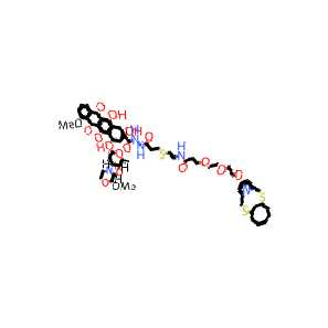 COc1cccc2c1C(=O)c1c(O)c3c(c(O)c1C2=O)C[C@@](O)(C(=O)NNC(=O)CCSCCNC(=O)CCOCCOCCOc1cc2nc(c1)CSC1CCCCCC(C1)SC2)C[C@@H]3O[C@H]1C[C@H]2[C@H](O[C@@H]3[C@@H](OC)OCCN32)[C@H](C)O1